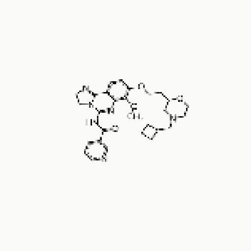 COc1c(OCCC2CN(CC3CCC3)CCO2)ccc2c1N=C(NC(=O)c1cccnc1)N1CCN=C21